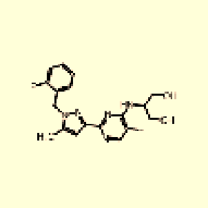 Cc1cc(-c2ncc(F)c(NC(CO)CO)n2)nn1Cc1ccccc1F